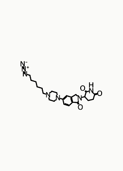 [N-]=[N+]=NCCCCCCN1CCN(c2ccc3c(c2)CN(C2CCC(=O)NC2=O)C3=O)CC1